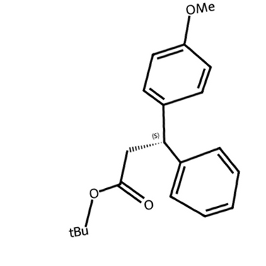 COc1ccc([C@@H](CC(=O)OC(C)(C)C)c2ccccc2)cc1